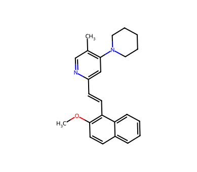 COc1ccc2ccccc2c1C=Cc1cc(N2CCCCC2)c(C)cn1